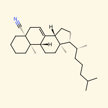 CC(C)CCC[C@@H](C)[C@H]1CC[C@H]2C3=CC[C@]4(C#N)CCCC[C@]4(C)[C@H]3CC[C@]12C